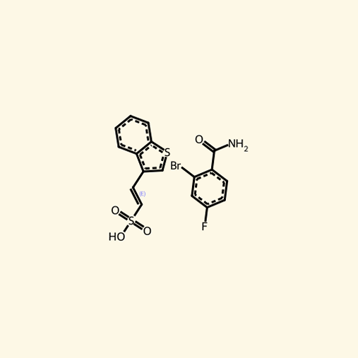 NC(=O)c1ccc(F)cc1Br.O=S(=O)(O)/C=C/c1csc2ccccc12